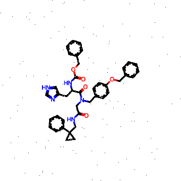 O=C(CN(Cc1ccc(OCc2ccccc2)cc1)C(=O)C(Cc1c[nH]cn1)NC(=O)OCc1ccccc1)NCC1(c2ccccc2)CC1